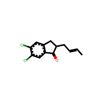 CC=CCC1Cc2cc(Cl)c(Cl)cc2C1=O